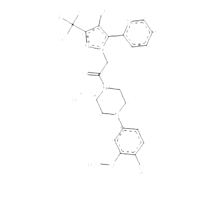 COc1cc(N2CCN(C(=O)Cn3nc(C(F)(F)F)c(Cl)c3-c3ccccn3)[C@@H](C)C2)ccc1Cl